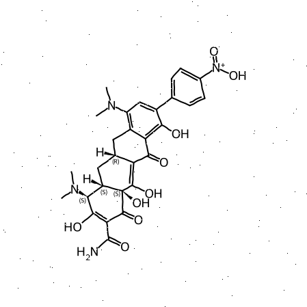 CN(C)c1cc(-c2ccc([N+](=O)O)cc2)c(O)c2c1C[C@H]1C[C@H]3[C@H](N(C)C)C(O)=C(C(N)=O)C(=O)[C@@]3(O)C(O)=C1C2=O